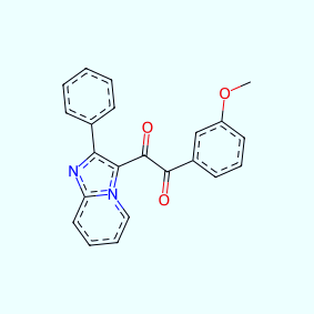 COc1cccc(C(=O)C(=O)c2c(-c3ccccc3)nc3ccccn23)c1